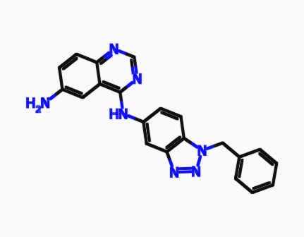 Nc1ccc2ncnc(Nc3ccc4c(c3)nnn4Cc3ccccc3)c2c1